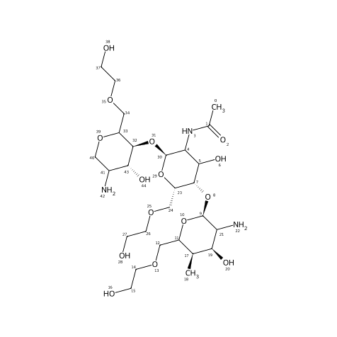 CC(=O)NC1C(O)[C@H](O[C@@H]2OC(COCCO)[C@H](C)[C@H](O)C2N)[C@H](COCCO)O[C@H]1O[C@@H]1C(COCCO)OCC(N)[C@H]1O